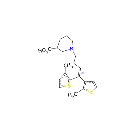 Cc1ccsc1/C(=C\CCN1CCCC(C(=O)O)C1)c1ccsc1C